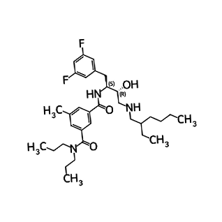 CCCCC(CC)CNC[C@@H](O)[C@H](Cc1cc(F)cc(F)c1)NC(=O)c1cc(C)cc(C(=O)N(CCC)CCC)c1